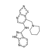 c1cnc2[nH]nc(Nc3cnc4cnsc4c3CN3CCCCC3)c2c1